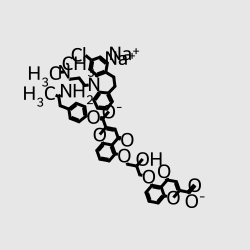 CC(N)Cc1ccccc1.CN(C)CCCN1c2ccccc2CCc2ccc(Cl)cc21.O=C([O-])c1cc(=O)c2c(OCC(O)COc3cccc4oc(C(=O)[O-])cc(=O)c34)cccc2o1.[Na+].[Na+]